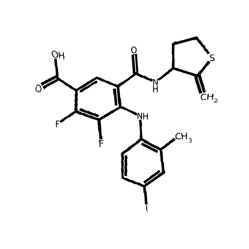 C=C1SCCC1NC(=O)c1cc(C(=O)O)c(F)c(F)c1Nc1ccc(I)cc1C